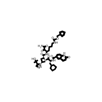 CC(C)(O)c1cnnn1[C@H]1C[C@@H](C(=O)NC(CCCCNC(=O)OCc2ccccc2)C(=O)C(N)=O)N(C(=O)[C@@H](CC2CCCCC2)NC(=O)c2ccc3[nH]c(=O)ccc3c2)C1